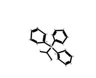 CC(C)[P](c1ccccc1)(c1ccccc1)c1ccccc1